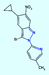 Cc1ccc(-n2nc3cc([N+](=O)[O-])c(C4CC4)cc3c2Br)nc1